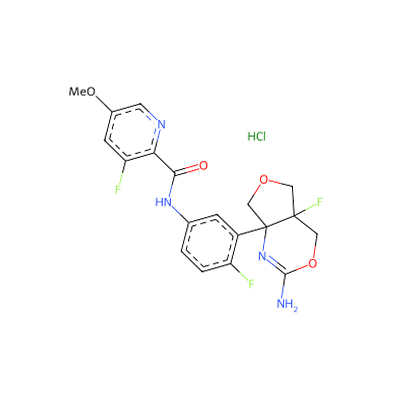 COc1cnc(C(=O)Nc2ccc(F)c(C34COCC3(F)COC(N)=N4)c2)c(F)c1.Cl